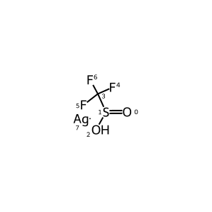 O=S(O)C(F)(F)F.[Ag]